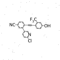 N#Cc1ccc(C#Cc2ccc(O)cc2C(F)(F)F)c(-c2ccc(Cl)nc2)c1